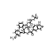 CC1(c2c(N(C=O)CC(=O)NCC(F)(F)F)cccc2-n2ccc(N)nc2=O)CCN(C(=O)c2ccc3[nH]ncc3c2)CC1